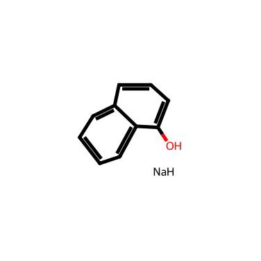 Oc1cccc2ccccc12.[NaH]